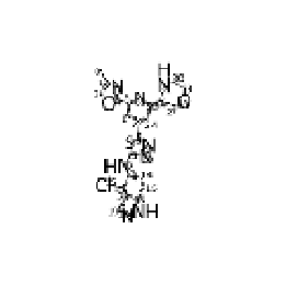 Cc1coc(-c2cc(-c3nnc(Nc4ccc5[nH]ncc5c4Cl)s3)cc(C3COCCN3)n2)n1